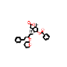 O=C1C[C@@H]2[C@@H](C=CC(CCc3ccccc3)OC3CCCCO3)[C@H](OC(=O)c3ccccc3)C[C@@H]2O1